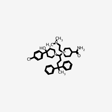 CN(C)CC[N+]1(C(CCC(C)(c2ccccc2)c2ccccc2)N2CCC(O)(c3ccc(Cl)cc3)CC2)CCC(C(N)=O)CC1